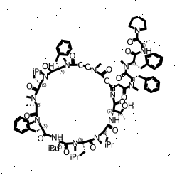 CC[C@H](C)[C@@H]1NC(=O)[C@H](Cc2ccccc2)N(C)C(=O)[C@H](C)N(C)C(=O)[C@H](CC(C)C)N(C)C(O)[C@H](Cc2ccccc2)N(C)C(=O)CCN(C)C(=O)C[C@@H](CC(=O)N(C)[C@@H](Cc2ccccc2)C(=O)N(C)[C@@H](Cc2ccccc2)C(=O)N[C@@H](C)C(=O)N2CCCCC2)NC(=O)[C@H]([C@@H](C)O)NC(=O)[C@H](CC(C)C)N(C)C(=O)[C@H](CC(C)C)N(C)C1=O